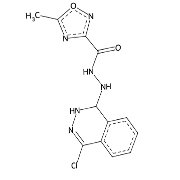 Cc1nc(C(=O)NNC2NN=C(Cl)c3ccccc32)no1